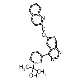 CC(C)(O)c1cccc(-c2ncnc3ccc(OCc4ccc5ccccc5n4)cc23)c1